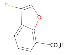 O=C(O)c1cccc2c(F)coc12